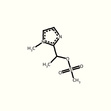 CC(OS(C)(=O)=O)c1nccn1C